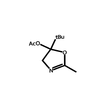 CC(=O)OC1(C(C)(C)C)CN=C(C)O1